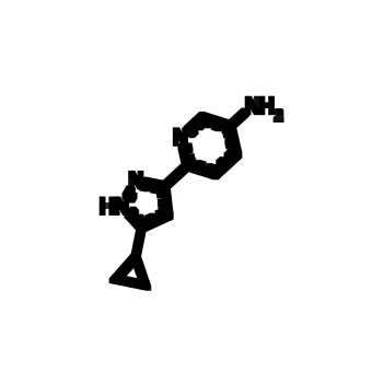 Nc1ccc(-c2cc(C3CC3)[nH]n2)nc1